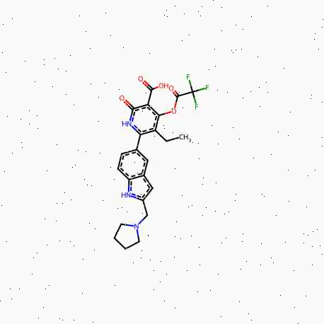 CCc1c(-c2ccc3[nH]c(CN4CCCC4)cc3c2)[nH]c(=O)c(C(=O)O)c1OC(=O)C(F)(F)F